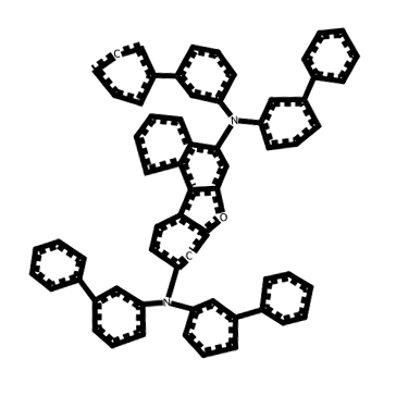 c1ccc(-c2cccc(N(c3cccc(-c4ccccc4)c3)c3ccc4c(c3)oc3cc(N(c5cccc(-c6ccccc6)c5)c5cccc(-c6ccccc6)c5)c5ccccc5c34)c2)cc1